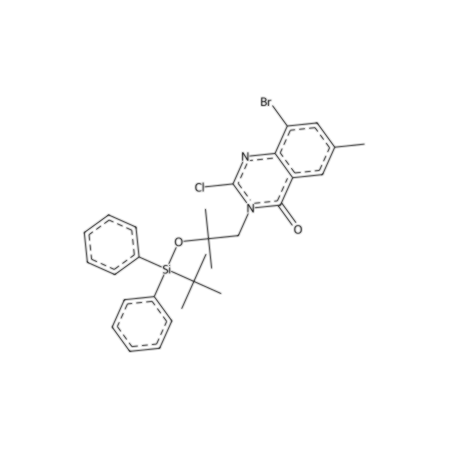 Cc1cc(Br)c2nc(Cl)n(CC(C)(C)O[Si](c3ccccc3)(c3ccccc3)C(C)(C)C)c(=O)c2c1